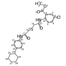 COC(=O)c1cc(Cl)ccc1NC(=O)CSCC(=O)Nc1ccc(C2CCCCC2)cc1